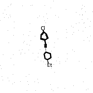 CC[C@H]1CC[C@H](C#Cc2ccc(Cl)cc2)CC1